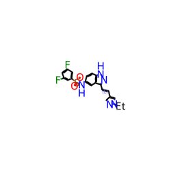 CCn1cc(/C=C/c2n[nH]c3ccc(NS(=O)(=O)c4cc(F)cc(F)c4)cc23)cn1